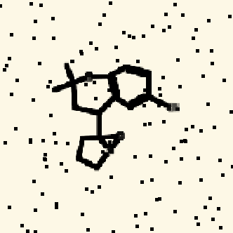 CC1(C)CC(C23CCCN2O3)c2cc(C#N)ccc2O1